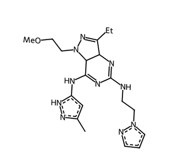 CCC1=NN(CCOC)C2C(Nc3cc(C)n[nH]3)=NC(NCCn3cccn3)=NC12